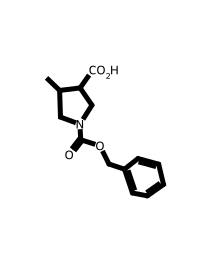 CC1CN(C(=O)OCc2ccccc2)CC1C(=O)O